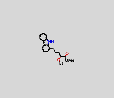 CCOC(=CCCc1cccc2c1[nH]c1ccccc12)C(=O)OC